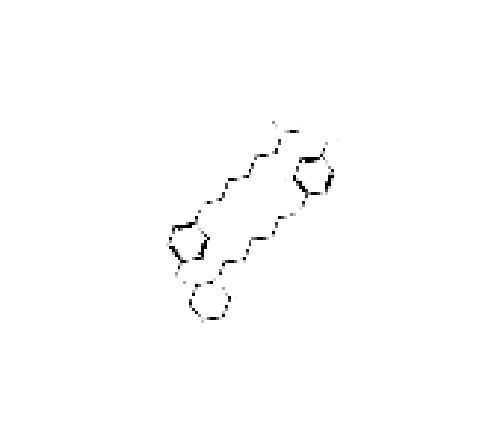 CCN(CC)CCCCCOc1ccc(C#N)cc1.N#Cc1ccc(OCCCCCN2CCCCC2)cc1